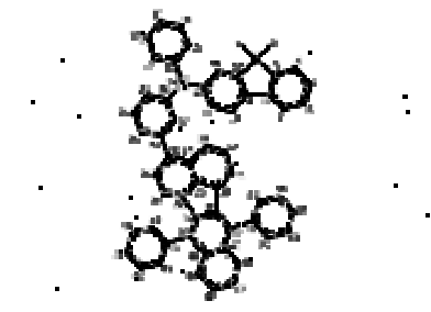 CC1(C)c2ccccc2-c2ccc(N(c3cccnc3)c3cccc(-c4ccc5c6c(cccc46)-c4c-5c(-c5ccccc5)c5ccccc5c4-c4ccccc4)c3)cc21